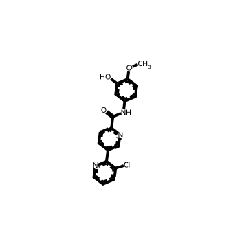 COc1ccc(NC(=O)c2ccc(-c3ncccc3Cl)cn2)cc1O